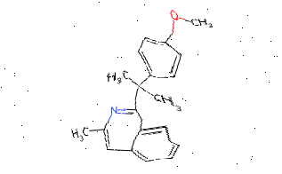 COc1ccc(C(C)(C)c2nc(C)cc3ccccc23)cc1